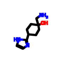 NCC1(O)CCC(c2ncc[nH]2)CC1